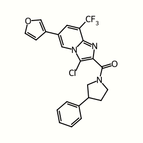 O=C(c1nc2c(C(F)(F)F)cc(-c3ccoc3)cn2c1Cl)N1CCC(c2ccccc2)C1